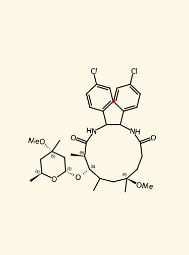 CO[C@]1(C)CCC(=O)NC(c2ccc(Cl)cc2)C(c2ccc(Cl)cc2)NC(=O)[C@H](C)[C@@H](O[C@H]2C[C@@](C)(OC)C[C@H](C)O2)C(C)C1